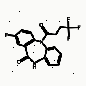 O=C1Nc2ccccc2N(C(=O)CCC(F)(F)F)c2ccc(F)cc21